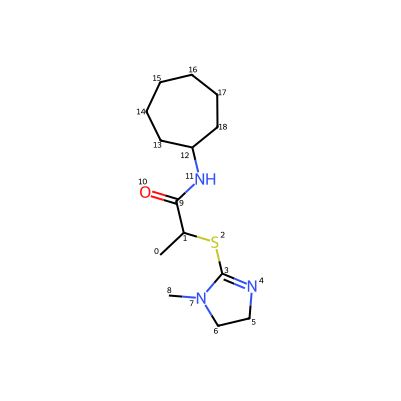 CC(SC1=NCCN1C)C(=O)NC1CCCCCC1